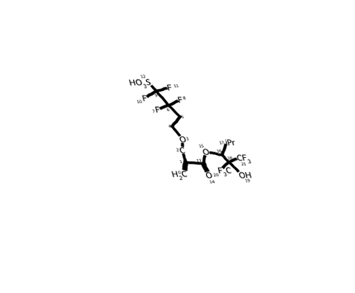 C=C(COCCC(F)(F)C(F)(F)S(=O)(=O)O)C(=O)OC(C(C)C)C(O)(C(F)(F)F)C(F)(F)F